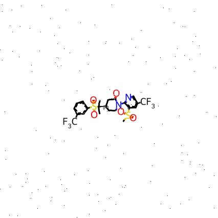 CC(C)([C@@H]1CCN(c2ncc(C(F)(F)F)cc2S(C)(=O)=O)C(=O)C1)S(=O)(=O)c1cccc(C(F)(F)F)c1